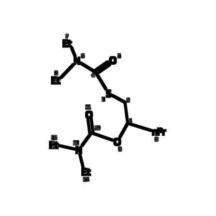 CCCC(CSC(=O)N(CC)CC)OC(=O)N(CC)CC